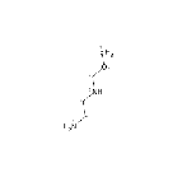 NCCNCO[SiH3]